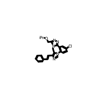 CC(C)OCc1nnc2n1Cc1c(/C=C/c3ccccc3)ncn1-c1ccc(Cl)cc1-2